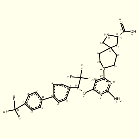 Nc1nc(O[C@H](c2ccc(-c3ccc(C(F)(F)F)cc3)cc2)C(F)(F)F)cc(N2CCC3(CC2)CN[C@H](C(=O)O)C3)n1